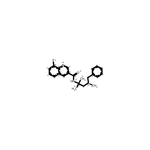 C[C@H](Cc1ccccc1)CC(C)(C)NC(=O)c1cnc2c(F)cccc2c1